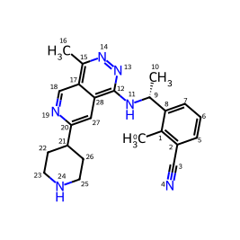 Cc1c(C#N)cccc1[C@@H](C)Nc1nnc(C)c2cnc(C3CCNCC3)cc12